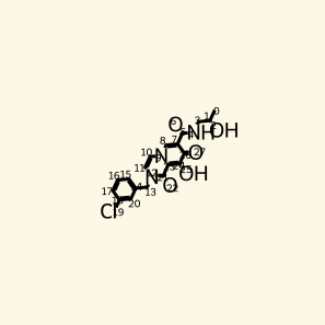 CC(O)CNC(=O)c1cn2ccn(Cc3cccc(Cl)c3)c(=O)c2c(O)c1=O